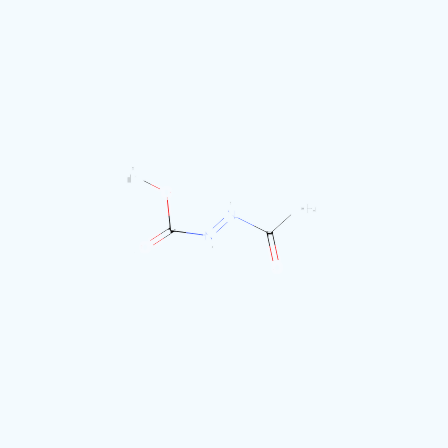 CC(C)COC(=O)N=NC(=O)OC(C)C